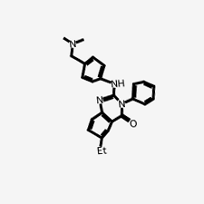 CCc1ccc2nc(Nc3ccc(CN(C)C)cc3)n(-c3ccccc3)c(=O)c2c1